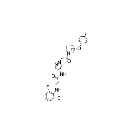 Cc1ccc(O[C@H]2CCCN(C(=O)Cn3cc(NC(=O)C=CNc4c(F)cncc4Cl)cn3)C2)cc1